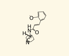 COc1ccccc1C=CC(=O)N[C@H]1CN2CCC1CC2